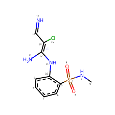 CNS(=O)(=O)c1ccccc1N/C(N)=C(\Cl)C=N